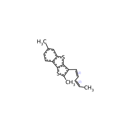 C/C=C\C=C/c1c(C)sc2c1sc1cc(C)ccc12